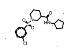 O=C(NC1CCCC1)C1CCCN(S(=O)(=O)c2cccc(Cl)c2)C1